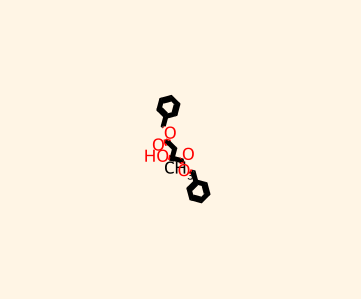 CC(O)(CC(=O)OCc1ccccc1)C(=O)OCc1ccccc1